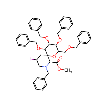 COC(=O)[C@H]1N(Cc2ccccc2)CC(I)C[C@]12OC(COCc1ccccc1)[C@H](OCc1ccccc1)[C@H](OCc1ccccc1)C2OCc1ccccc1